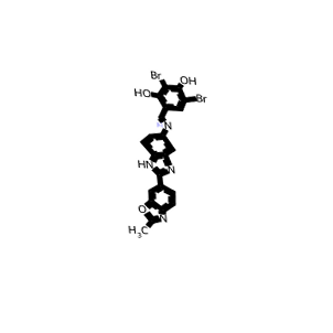 Cc1nc2ccc(-c3nc4cc(/N=C/c5cc(Br)c(O)c(Br)c5O)ccc4[nH]3)cc2o1